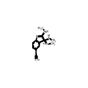 C#Cc1ccc2c(c1)C(NC)(NC)C(NC)=N2